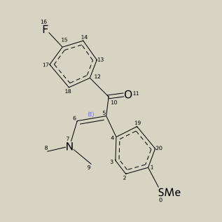 CSc1ccc(/C(=C\N(C)C)C(=O)c2ccc(F)cc2)cc1